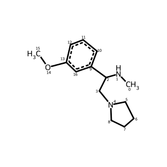 CNC(CN1CCCC1)c1cccc(OC)c1